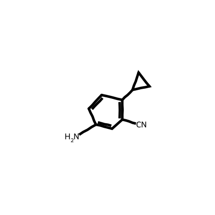 N#Cc1cc(N)ccc1C1CC1